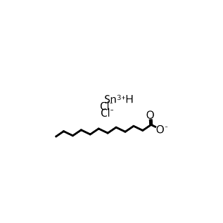 CCCCCCCCCCCC(=O)[O-].[Cl-].[Cl-].[SnH+3]